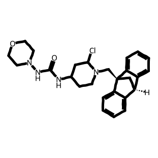 O=C(NC1CCN(C[C@]23C[C@@H](c4ccccc42)c2ccccc23)C(Cl)C1)NN1CCOCC1